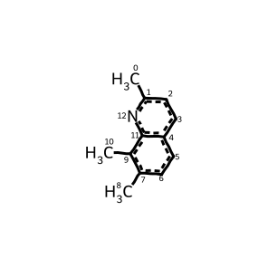 Cc1ccc2ccc(C)c(C)c2n1